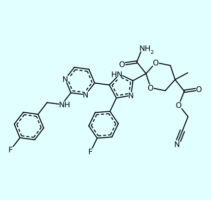 CC1(C(=O)OCC#N)COC(C(N)=O)(c2nc(-c3ccc(F)cc3)c(-c3ccnc(NCc4ccc(F)cc4)n3)[nH]2)OC1